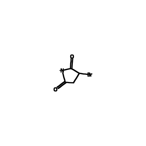 O=C1CC(Br)C(=O)[N]1